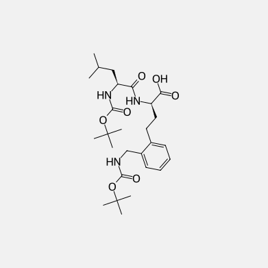 CC(C)C[C@H](NC(=O)OC(C)(C)C)C(=O)N[C@H](CCc1ccccc1CNC(=O)OC(C)(C)C)C(=O)O